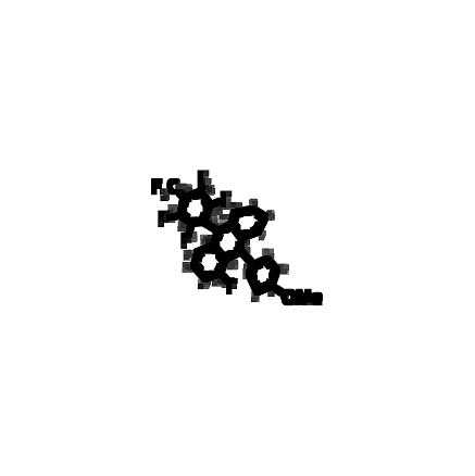 COc1ccc(-c2c3ccccc3c(-c3c(F)c(F)c(C(F)(F)F)c(F)c3F)c3cccc(F)c23)cc1